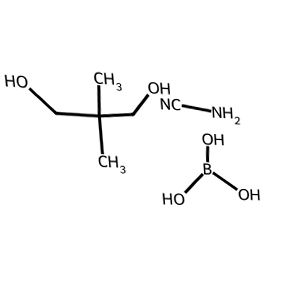 CC(C)(CO)CO.N#CN.OB(O)O